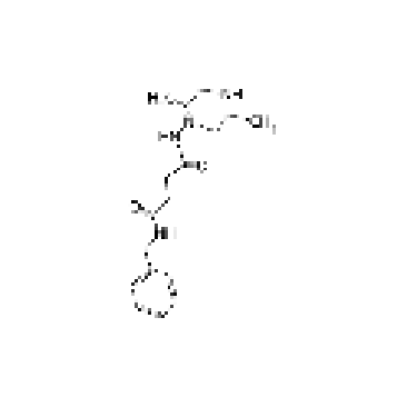 CC1CN(NC(=O)CCC(=O)NCc2ccccc2)C(C)CN1